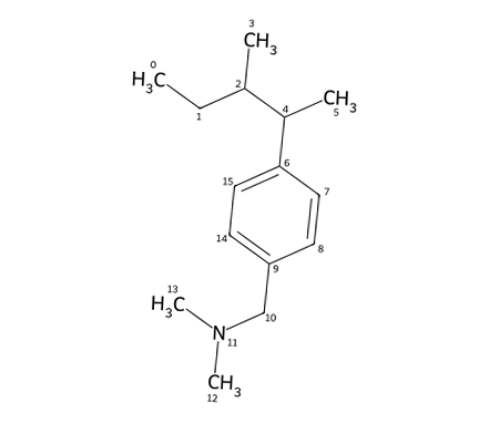 CCC(C)C(C)c1ccc(CN(C)C)cc1